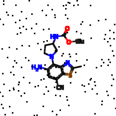 Cc1nc2c(N3CCC(NC(=O)OC(C)(C)C)C3)c(N)cc(C#N)c2s1